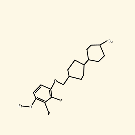 CCCCC1CCC(C2CCC(COc3ccc(OCC)c(F)c3F)CC2)CC1